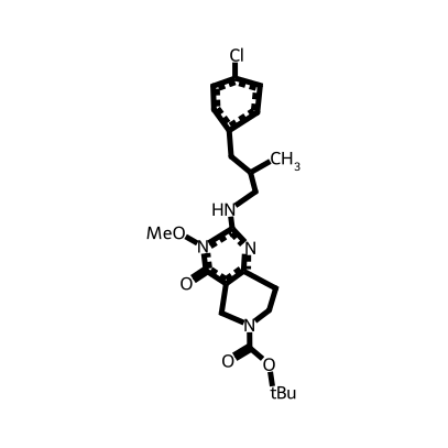 COn1c(NCC(C)Cc2ccc(Cl)cc2)nc2c(c1=O)CN(C(=O)OC(C)(C)C)CC2